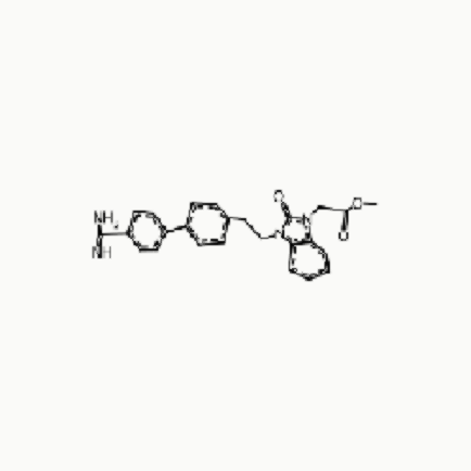 COC(=O)Cn1c(=O)n(CCc2ccc(-c3ccc(C(=N)N)cc3)cc2)c2ccccc21